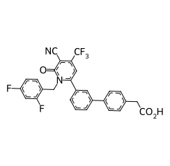 N#Cc1c(C(F)(F)F)cc(-c2cccc(-c3ccc(CC(=O)O)cc3)c2)n(Cc2ccc(F)cc2F)c1=O